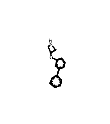 c1ccc(-c2cccc(OC3CNC3)c2)cc1